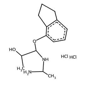 CC(N)NC(Oc1cccc2c1CCC2)C(C)O.Cl.Cl